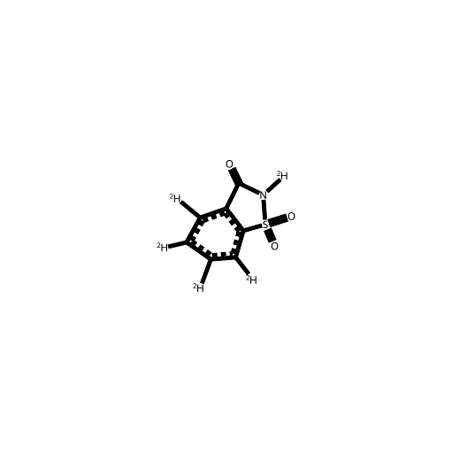 [2H]c1c([2H])c([2H])c2c(c1[2H])C(=O)N([2H])S2(=O)=O